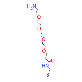 C#CCNC(=O)CCOCCOCCOCCOCCN